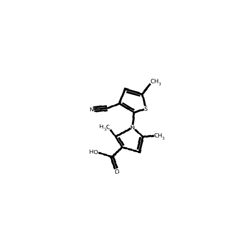 Cc1cc(C#N)c(-n2c(C)cc(C(=O)O)c2C)s1